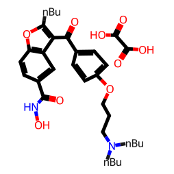 CCCCc1oc2ccc(C(=O)NO)cc2c1C(=O)c1ccc(OCCCN(CCCC)CCCC)cc1.O=C(O)C(=O)O